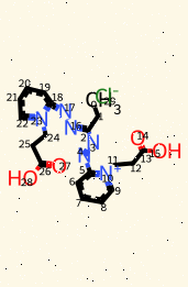 CCC(N=Nc1cccc[n+]1CCC(=O)O)=NN=c1ccccn1CCC(=O)O.[Cl-]